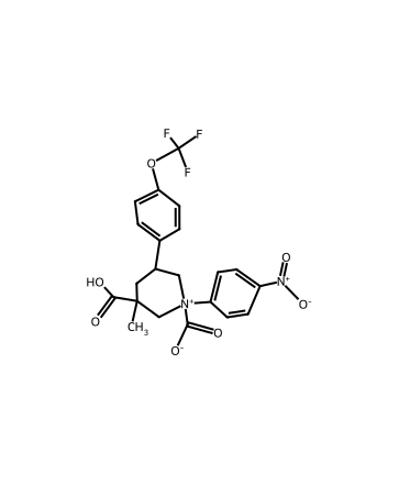 CC1(C(=O)O)CC(c2ccc(OC(F)(F)F)cc2)C[N+](C(=O)[O-])(c2ccc([N+](=O)[O-])cc2)C1